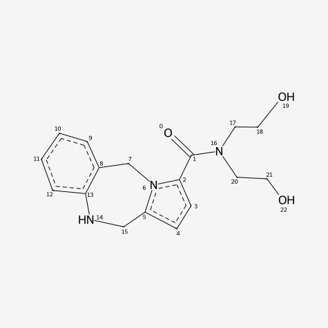 O=C(c1ccc2n1Cc1ccccc1NC2)N(CCO)CCO